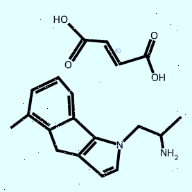 Cc1cccc2c1Cc1ccn(CC(C)N)c1-2.O=C(O)/C=C/C(=O)O